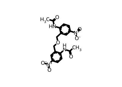 CC(=O)Nc1ccc([N+](=O)[O-])cc1COCc1cc([N+](=O)[O-])ccc1NC(C)=O